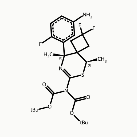 C[C@H]1SC(N(C(=O)OC(C)(C)C)C(=O)OC(C)(C)C)=N[C@](C)(c2cc(N)ccc2F)C12CC(F)(F)C2